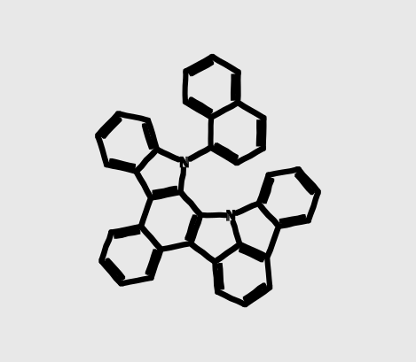 c1ccc2c(-n3c4ccccc4c4c5ccccc5c5c6cccc7c8ccccc8n(c76)c5c43)cccc2c1